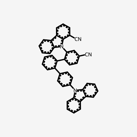 N#Cc1ccc(-c2ccccc2-c2ccc(-n3c4ccccc4c4ccccc43)cc2)c(-n2c3ccccc3c3cccc(C#N)c32)c1